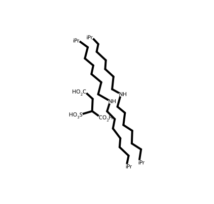 CC(C)CCCCCCNCCCCCCC(C)C.CC(C)CCCCCCNCCCCCCC(C)C.O=C(O)CC(C(=O)O)S(=O)(=O)O